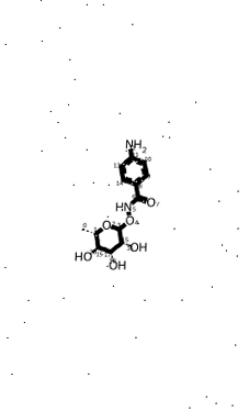 C[C@@H]1OC(ONC(=O)c2ccc(N)cc2)[C@H](O)[C@H](O)[C@H]1O